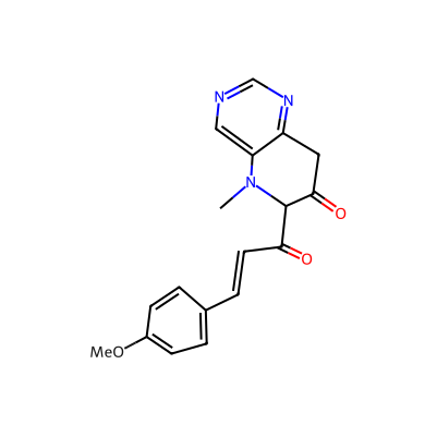 COc1ccc(/C=C/C(=O)C2C(=O)Cc3ncncc3N2C)cc1